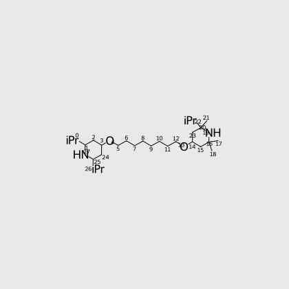 CC(C)C1CC(OCCCCCCCCOC2CC(C)(C)NC(C)(C(C)C)C2)CC(C(C)C)N1